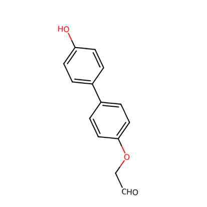 O=CCOc1ccc(-c2ccc(O)cc2)cc1